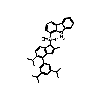 CC1=Cc2c(ccc(C(C)C)c2-c2cc(C(C)C)cc(C(C)C)c2)[CH]1[Zr]([Cl])([Cl])[c]1cccc2c1[SiH2]c1ccccc1-2